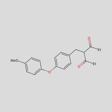 CCC(=O)C(Cc1ccc(Oc2ccc(OC)cc2)cc1)C(=O)CC